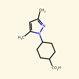 Cc1cc(C)n(C2CCC(C(=O)O)CC2)n1